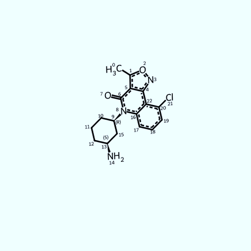 Cc1onc2c1c(=O)n([C@@H]1CCC[C@H](N)C1)c1cccc(Cl)c21